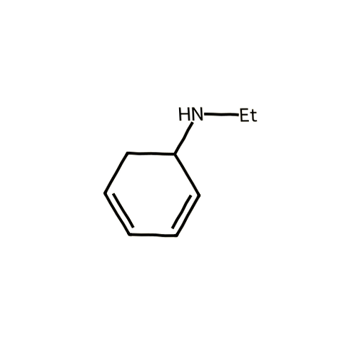 CCNC1C=CC=CC1